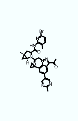 CC(=O)c1nn(CC(=O)N2C(C(=O)Nc3nc(Br)ccc3C)C[C@@]3(C)C[C@@H]23)c2c(C3CC3)cc(-c3cnc(C)nc3)cc12